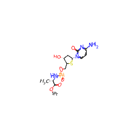 CC(C)OC(=O)[C@H](C)N[PH](=O)OCC1S[C@@H](n2ccc(N)nc2=O)C[C@H]1O